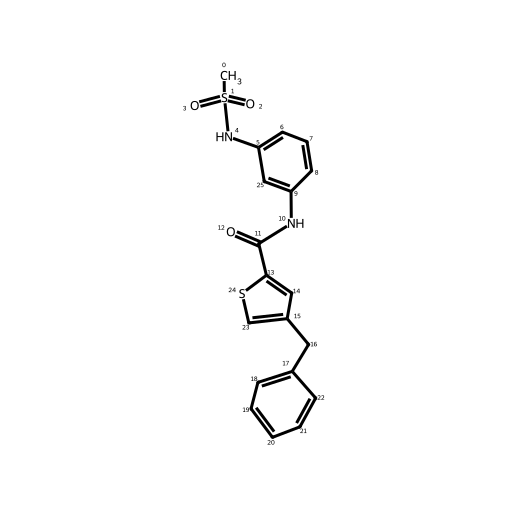 CS(=O)(=O)Nc1cccc(NC(=O)c2cc(Cc3ccccc3)cs2)c1